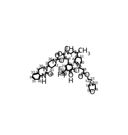 CC(CCN(C)C(=O)[C@@H](Cc1cc(Cl)c(O)c(C(F)(F)F)c1)OC(=O)N1CCC(N2CCc3ccccc3NC2=O)CC1)C1CCN(CCC(=O)OCCN2CCOCC2)CC1